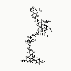 Cc1ncsc1-c1ccc(CNC(=O)[C@@H]2C[C@@H](O)CN2C(=O)[C@@H](NC(=O)COCCN2C[C@@H]3C[C@H]2CN3CCOc2ccc(Oc3c(-c4ccc(Br)cc4)sc4cc(O)ccc34)cc2)C(C)(C)C)cc1